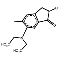 CCN1Cc2cc(C)c(N(CC(=O)O)CC(=O)O)cc2C1=O